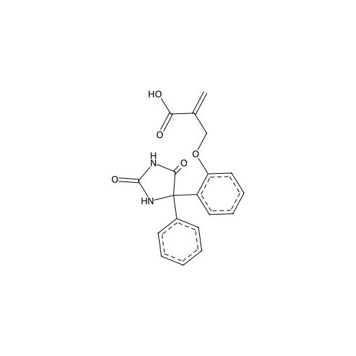 C=C(COc1ccccc1C1(c2ccccc2)NC(=O)NC1=O)C(=O)O